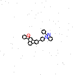 c1ccc(-c2nc3ccccc3n2-c2ccc(-c3ccc4c(c3)-c3cc5oc6ccccc6c5c5cccc-4c35)cc2)cc1